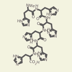 CNC(Cc1cnc[nH]1)C(=O)NC(Cc1cnc[nH]1)C(=O)NC(Cc1cnc[nH]1)C(=O)NC(Cc1cnc[nH]1)C(=O)NC(Cc1cnc[nH]1)C(=O)NC(Cc1cnc[nH]1)C(=O)O